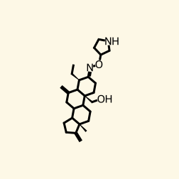 C=C1CC2C(CC[C@]3(C)C(=C)CCC23)[C@@]2(CO)CCC(=NOC3CCNC3)[C@H](CC)C12